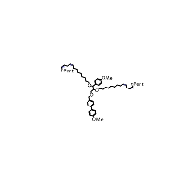 CCCCC/C=C\C/C=C\CCCCCCCCOC(COCc1ccc(-c2ccc(OC)cc2)cc1)C(OCCCCCCCC/C=C\C/C=C\CCCCC)c1ccc(OC)cc1